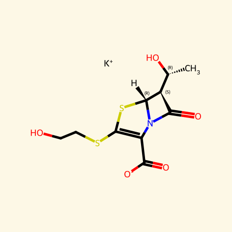 C[C@@H](O)[C@H]1C(=O)N2C(C(=O)[O-])=C(SCCO)S[C@H]12.[K+]